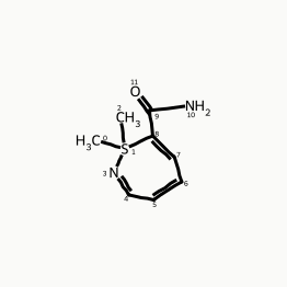 CS1(C)N=CC=CC=C1C(N)=O